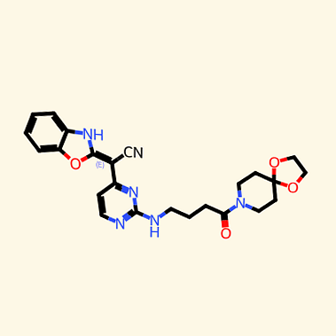 N#C/C(=C1\Nc2ccccc2O1)c1ccnc(NCCCC(=O)N2CCC3(CC2)OCCO3)n1